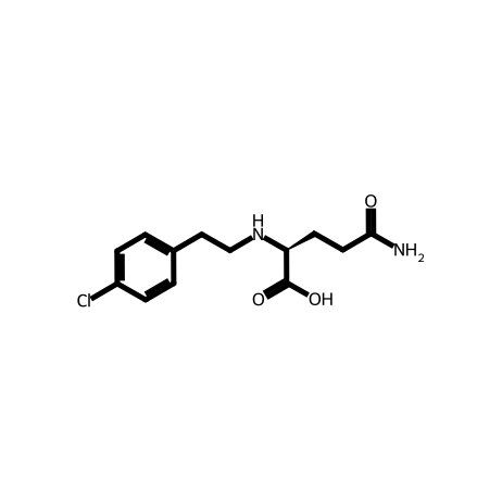 NC(=O)CC[C@H](NCCc1ccc(Cl)cc1)C(=O)O